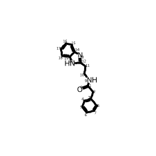 O=C(Cc1ccccc1)NCCc1nc2ccccc2[nH]1